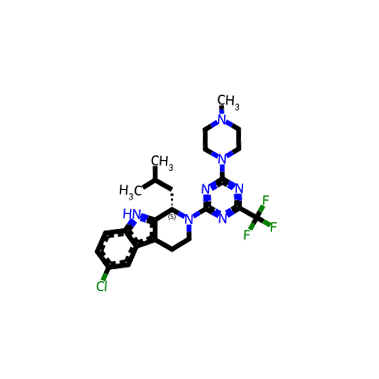 CC(C)C[C@H]1c2[nH]c3ccc(Cl)cc3c2CCN1c1nc(N2CCN(C)CC2)nc(C(F)(F)F)n1